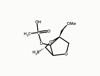 B[C@@H]1O[C@]2(COC)COC1C2OP(C)(=O)O